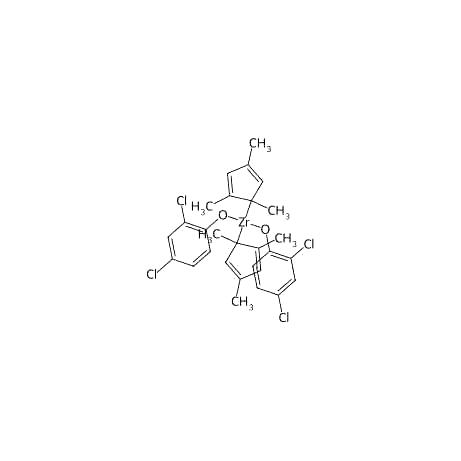 CC1=C[C](C)([Zr]([O]c2ccc(Cl)cc2Cl)([O]c2ccc(Cl)cc2Cl)[C]2(C)C=C(C)C=C2C)C(C)=C1